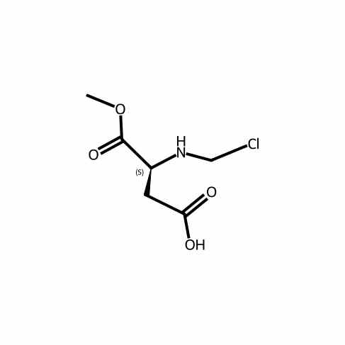 COC(=O)[C@H](CC(=O)O)NCCl